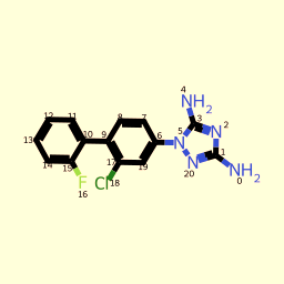 Nc1nc(N)n(-c2ccc(-c3ccccc3F)c(Cl)c2)n1